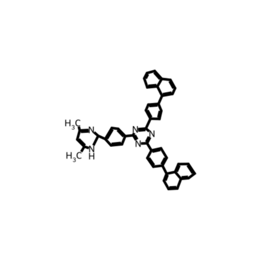 CC1=CC(C)=NC(c2ccc(-c3nc(-c4ccc(-c5cccc6ccccc56)cc4)nc(-c4ccc(-c5cccc6ccccc56)cc4)n3)cc2)N1